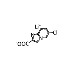 O=C([O-])c1cn2cc(Cl)ccc2n1.[Li+]